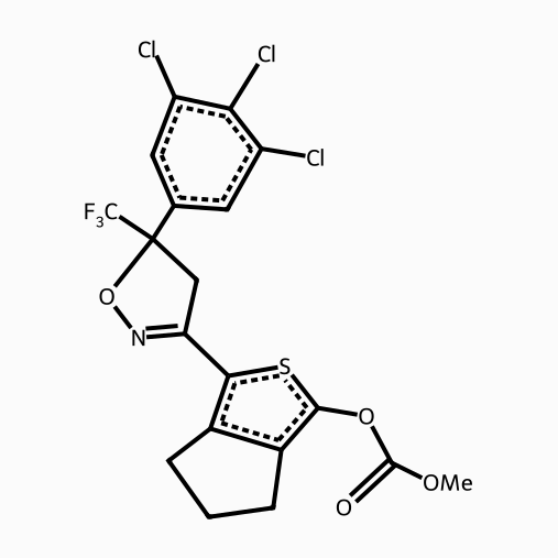 COC(=O)Oc1sc(C2=NOC(c3cc(Cl)c(Cl)c(Cl)c3)(C(F)(F)F)C2)c2c1CCC2